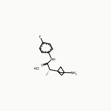 C[C@H](C(=O)Nc1ccc(F)cc1)C12CC(N)(C1)C2.Cl